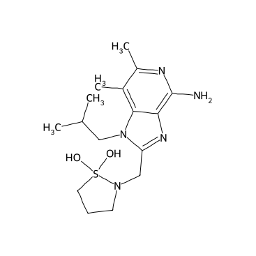 Cc1nc(N)c2nc(CN3CCCS3(O)O)n(CC(C)C)c2c1C